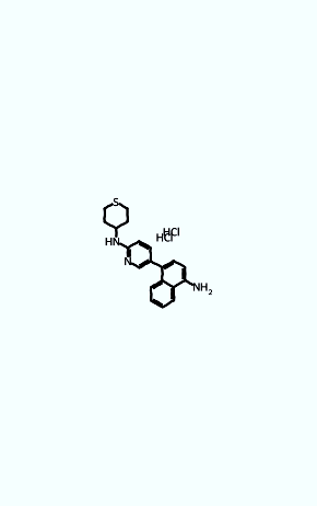 Cl.Cl.Nc1ccc(-c2ccc(NC3CCSCC3)nc2)c2ccccc12